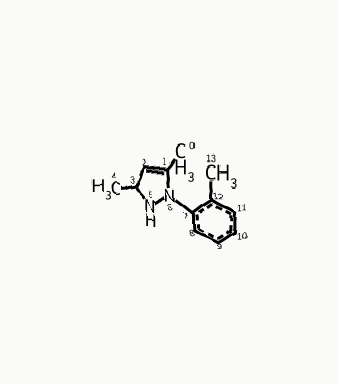 CC1=CC(C)NN1c1ccccc1C